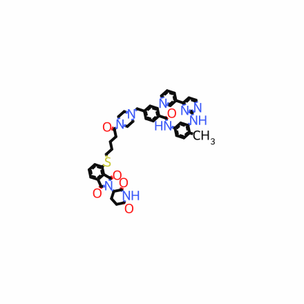 Cc1ccc(NC(=O)c2ccc(CN3CCN(C(=O)CCCCSc4cccc5c4C(=O)N(C4CCC(=O)NC4=O)C5=O)CC3)cc2)cc1Nc1nccc(-c2cccnc2)n1